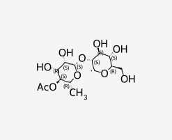 CC(=O)O[C@H]1[C@H](O)[C@H](O)[C@H](O[C@H]2[CH]O[C@H](CO)[C@@H](O)[C@@H]2O)O[C@@H]1C